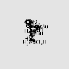 CCCN(CCC[C@H](CC(=O)NN(C)CC(=O)O)O[Si](C)(CNC(=O)OC(C)(C)C)C(C)(C)C)S(=O)(=O)c1ccccc1[N+](=O)[O-]